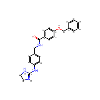 O=C(NCc1ccc(NC2=NCCN2)cc1)c1ccc(OCc2ccccc2)cc1